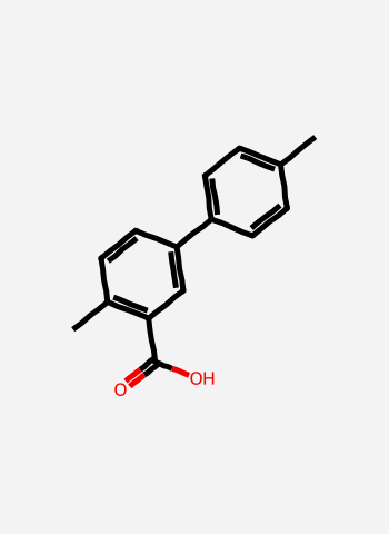 Cc1ccc(-c2ccc(C)c(C(=O)O)c2)cc1